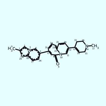 Cc1cn2cc(C3=C\C(=O)N4C=C(C5=CCN(C)CC5)C=C\C4=C/C=C/3)ccc2n1